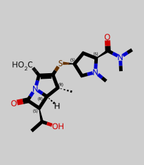 CC(O)[C@H]1C(=O)N2C(C(=O)O)=C(S[C@H]3C[C@@H](C(=O)N(C)C)N(C)C3)[C@H](C)[C@@H]12